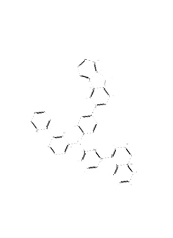 c1ccc(-c2cccc(N(c3ccc(-c4ccc5oc6ccccc6c5c4)cc3)c3cccc(-c4cccc5ccccc45)c3)c2)cc1